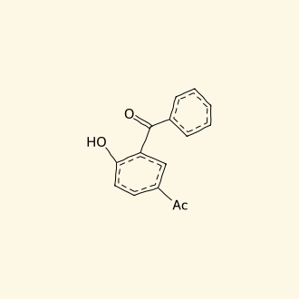 CC(=O)c1ccc(O)c(C(=O)c2ccccc2)c1